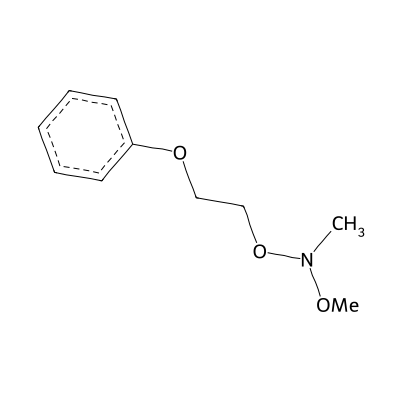 CON(C)OCCOc1ccccc1